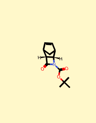 CC(C)(C)OC(=O)N1C(=O)[C@@H]2C3C=CC(C3)[C@@H]21